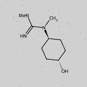 CNC(=N)N(C)[C@H]1CC[C@H](O)CC1